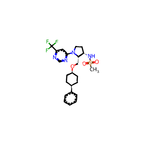 CS(=O)(=O)N[C@H]1CCN(c2cc(C(F)(F)F)ncn2)[C@H]1CO[C@H]1CC[C@@H](c2ccccc2)CC1